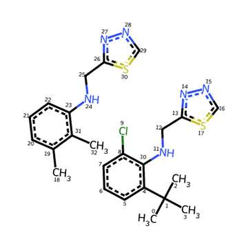 CC(C)(C)c1cccc(Cl)c1NCc1nncs1.Cc1cccc(NCc2nncs2)c1C